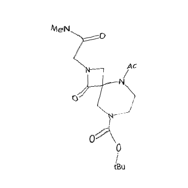 CNC(=O)CN1CC2(CN(C(=O)OC(C)(C)C)CCN2C(C)=O)C1=O